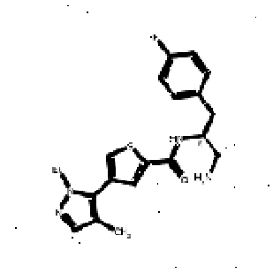 CCn1ncc(C)c1-c1csc(C(=O)N[C@H](CN)Cc2ccc(F)cc2)c1